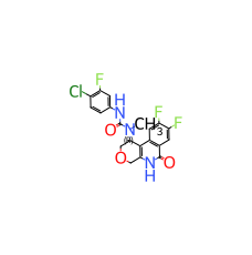 CN(C(=O)Nc1ccc(Cl)c(F)c1)[C@H]1COCc2[nH]c(=O)c3cc(F)c(F)cc3c21